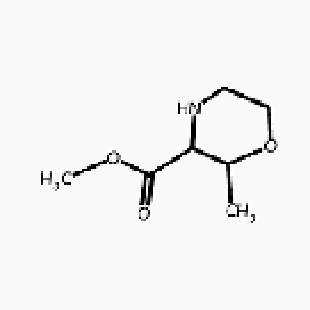 COC(=O)C1NCCOC1C